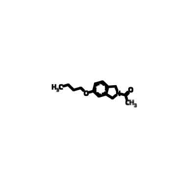 CCCCOc1ccc2c(c1)CN(C(C)=O)C2